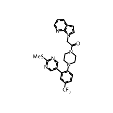 CSc1ncc(-c2cc(C(F)(F)F)ccc2N2CCN(C(=O)Cn3ccc4cccnc43)CC2)cn1